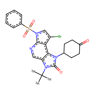 [2H]C([2H])([2H])n1c(=O)n(C2CCC(=O)CC2)c2c3c(Br)cn(S(=O)(=O)c4ccccc4)c3ncc21